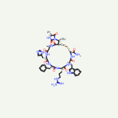 CCCC[C@@H]([C@H]1CSSC[C@@H](C(N)=O)NC(=O)[C@H](Cc2c[nH]c3ccccc23)NC(=O)[C@H](CCCNC(=N)N)NC(=O)[C@@H](Cc2ccccc2)NC(=O)[C@H](Cc2cnc[nH]2)NC(=O)[C@@H](C)NC1=O)N1C(=O)N[C@@H](C(C)C)C1=O